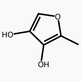 Cc1occ(O)c1O